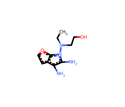 CCN(CCO)n1c(N)c(N)c2ccoc21